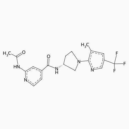 CC(=O)Nc1cc(C(=O)N[C@@H]2CCN(c3ncc(C(F)(F)F)cc3C)C2)ccn1